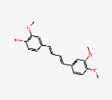 COc1cc(/C=C/C=C/c2ccc(OC)c(OC)c2)ccc1O